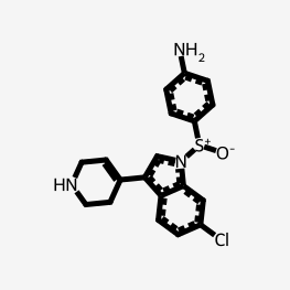 Nc1ccc([S+]([O-])n2cc(C3=CCNCC3)c3ccc(Cl)cc32)cc1